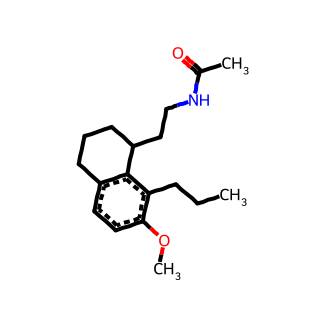 CCCc1c(OC)ccc2c1C(CCNC(C)=O)CCC2